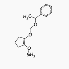 CC(OCOC1=C(O[SiH3])CCC1)c1ccccc1